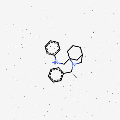 C[C@H](c1ccccc1)N1CC2CCCC1(CNc1ccccc1)C2